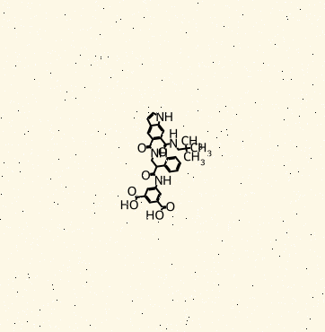 CC(C)(C)CNC(=O)c1cc2[nH]ccc2cc1C(=O)NCC(C(=O)Nc1cc(C(=O)O)cc(C(=O)O)c1)c1ccccc1